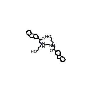 O=C(/C=C(/CCCO)NCCN/C(=C\C(=O)c1ccc2c(c1)Cc1ccccc1-2)CCCO)c1ccc2c(c1)Cc1ccccc1-2